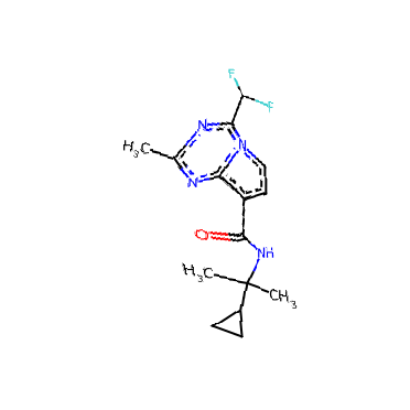 Cc1nc(C(F)F)n2ccc(C(=O)NC(C)(C)C3CC3)c2n1